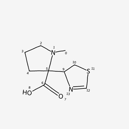 CN1CCCC1(C(=O)O)C1CSC=N1